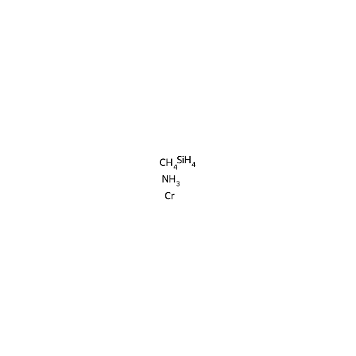 C.N.[Cr].[SiH4]